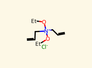 C=CC[N+](CC=C)(OCC)OCC.[Cl-]